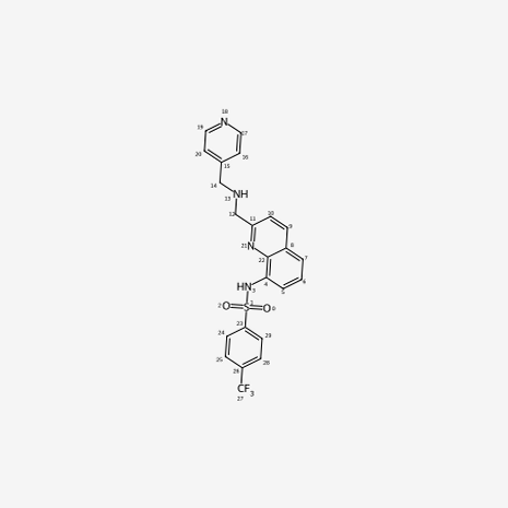 O=S(=O)(Nc1cccc2ccc(CNCc3ccncc3)nc12)c1ccc(C(F)(F)F)cc1